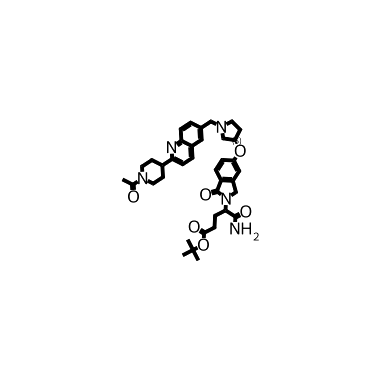 CC(=O)N1CCC(c2ccc3cc(CN4CC[C@H](Oc5ccc6c(c5)CN(C(CCC(=O)OC(C)(C)C)C(N)=O)C6=O)C4)ccc3n2)CC1